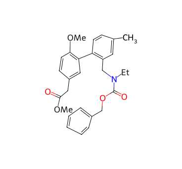 CCN(Cc1cc(C)ccc1-c1cc(CC(=O)OC)ccc1OC)C(=O)OCc1ccccc1